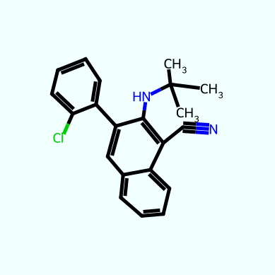 CC(C)(C)Nc1c(-c2ccccc2Cl)cc2ccccc2c1C#N